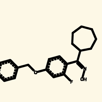 ON=C(c1ccc(OCc2ccccc2)cc1F)C1CCCCCC1